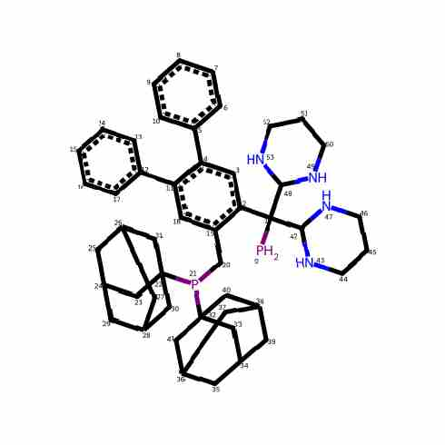 PC(c1cc(-c2ccccc2)c(-c2ccccc2)cc1CP(C12CC3CC(CC(C3)C1)C2)C12CC3CC(CC(C3)C1)C2)(C1NCCCN1)C1NCCCN1